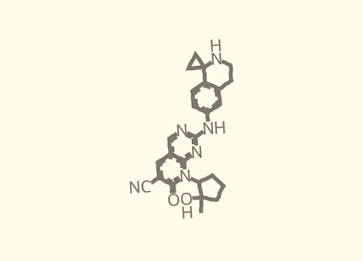 CC1(O)CCCC1n1c(=O)c(C#N)cc2cnc(Nc3ccc4c(c3)CCNC43CC3)nc21